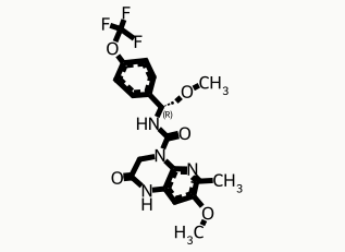 COC[C@H](NC(=O)N1CC(=O)Nc2cc(OC)c(C)nc21)c1ccc(OC(F)(F)F)cc1